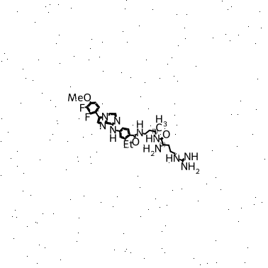 CCc1cc(Nc2nccn3c(-c4ccc(OC)c(F)c4F)cnc23)ccc1C(=O)NCC[C@@H](C)NC(=O)[C@@H](N)CCCNC(=N)N